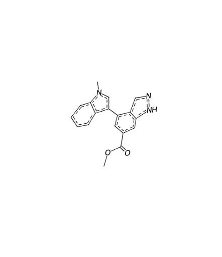 COC(=O)c1cc(-c2cn(C)c3ccccc23)c2cn[nH]c2c1